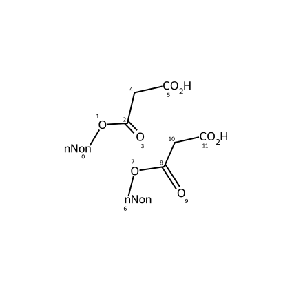 CCCCCCCCCOC(=O)CC(=O)O.CCCCCCCCCOC(=O)CC(=O)O